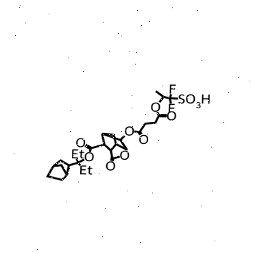 CCC(CC)(OC(=O)C1C2CC3C(OC(=O)C31)C2OC(=O)CCC(=O)OC(C)C(F)(F)S(=O)(=O)O)C1CC2CCC1C2